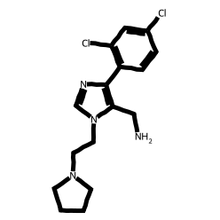 NCc1c(-c2ccc(Cl)cc2Cl)ncn1CCN1CCCC1